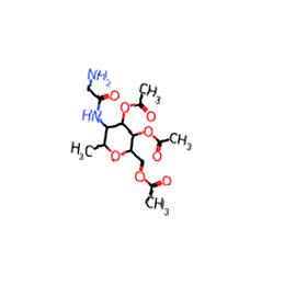 CC(=O)OCC1OC(C)C(NC(=O)CN)C(OC(C)=O)C1OC(C)=O